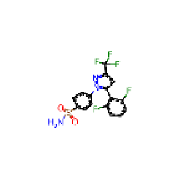 NS(=O)(=O)c1ccc(-n2nc(C(F)(F)F)cc2-c2c(F)cccc2F)cc1